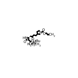 C=CCOC(=O)N1CCC(CCC(=O)C[C@H]2NC(=O)[C@@H]2[C@@H](C)O[Si](C)(C)C(C)(C)C)C1